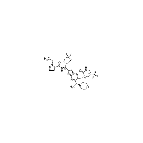 CCn1nccc1C(=O)N[C@H](c1cn2nc(C[C@H]3C[C@@H](C(F)(F)F)CNC3=O)c(C(C)N3CCOCC3)nc2n1)C1CCC(F)(F)CC1